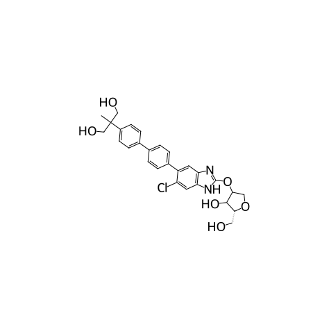 CC(CO)(CO)c1ccc(-c2ccc(-c3cc4nc(OC5CO[C@H](CO)C5O)[nH]c4cc3Cl)cc2)cc1